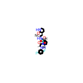 C[C@@H](Nc1cc(F)ccc1F)C(=O)N1[C@@H]2CC[C@H]([C@@H]1C(=O)N[C@@H](C#N)C[C@@H]1CCCNC1=O)C(F)(F)C2